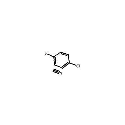 C#N.Fc1ccc(Cl)cc1